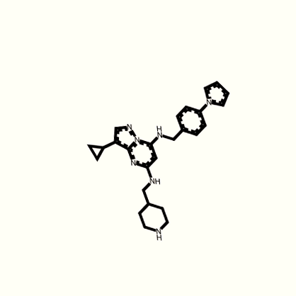 c1ccn(-c2ccc(CNc3cc(NCC4CCNCC4)nc4c(C5CC5)cnn34)cc2)c1